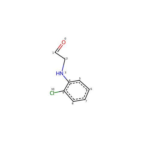 O=C[CH]Nc1ccccc1Cl